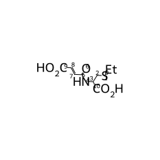 CCSCC(NC(=O)/C=C/C(=O)O)C(=O)O